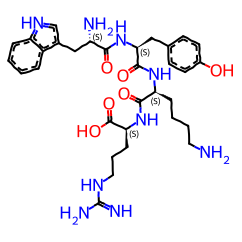 N=C(N)NCCC[C@H](NC(=O)[C@H](CCCCN)NC(=O)[C@H](Cc1ccc(O)cc1)NC(=O)[C@@H](N)Cc1c[nH]c2ccccc12)C(=O)O